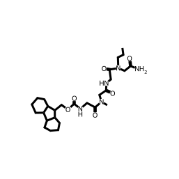 CCCN(CC(N)=O)C(=O)CNC(=O)CN(C)C(=O)CNC(=O)OCC1C2CCCCC2C2CCCCC21